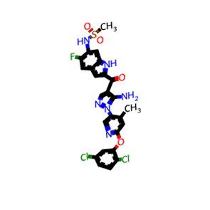 Cc1cc(Oc2cc(Cl)ccc2Cl)ncc1-n1ncc(C(=O)c2cc3cc(F)c(NS(C)(=O)=O)cc3[nH]2)c1N